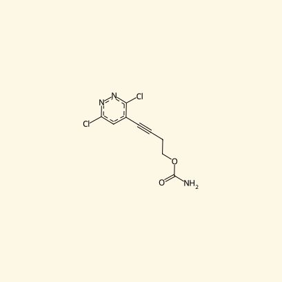 NC(=O)OCCC#Cc1cc(Cl)nnc1Cl